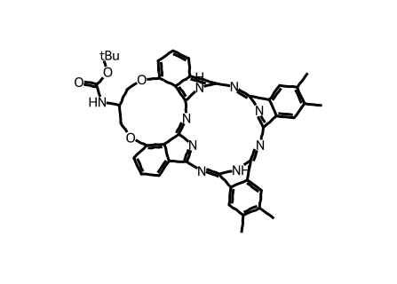 Cc1cc2c(cc1C)-c1nc-2nc2[nH]c(nc3nc4nc5[nH]c(n1)c1cccc(c51)OCC(NC(=O)OC(C)(C)C)COc1cccc-3c1-4)c1cc(C)c(C)cc21